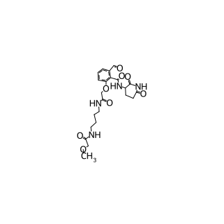 COCC(=O)NCCCCNC(=O)COc1cccc(C=O)c1C(=O)NC1CCC(=O)NC1=O